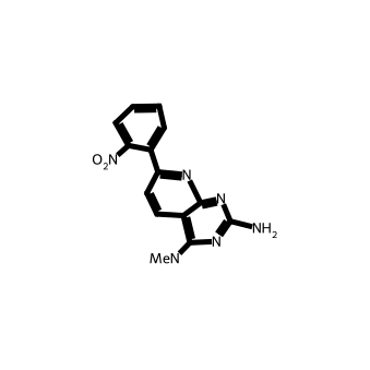 CNc1nc(N)nc2nc(-c3ccccc3[N+](=O)[O-])ccc12